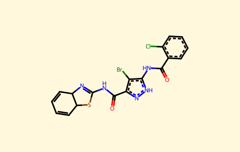 O=C(Nc1[nH]nc(C(=O)NC2=NC3C=CC=CC3S2)c1Br)c1ccccc1Cl